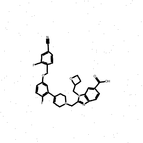 N#Cc1ccc(COc2ccc(F)c(C3=CCN(Cc4nc5ccc(C(=O)O)cc5n4CC4CCO4)CC3)c2)c(F)c1